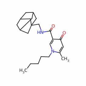 CCCCCn1cc(C(=O)NCC23CC4CC(CC(C4)C2)C3)c(=O)cc1C